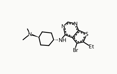 CCc1sc2ncnc(N[C@H]3CC[C@H](N(C)C)CC3)c2c1Br